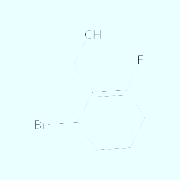 CCc1c(F)c[c]cc1Br